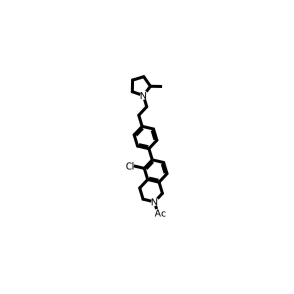 CC(=O)N1CCc2c(ccc(-c3ccc(CCN4CCCC4C)cc3)c2Cl)C1